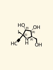 C#C[C@@]1(I)N[C@H](CO)[C@@H](O)[C@H]1O